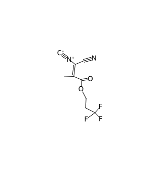 [C-]#[N+]/C(C#N)=C(\C)C(=O)OCCC(F)(F)F